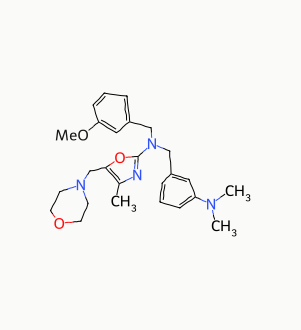 COc1cccc(CN(Cc2cccc(N(C)C)c2)c2nc(C)c(CN3CCOCC3)o2)c1